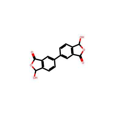 O=C1OC(O)c2ccc(-c3ccc4c(c3)C(=O)OC4O)cc21